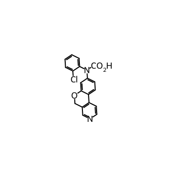 O=C(O)N(c1ccc2c(c1)OCc1cnccc1-2)c1ccccc1Cl